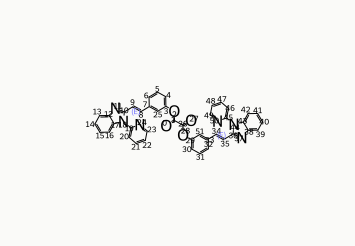 O=C(Oc1cccc(/C=C/c2nc3ccccc3n2-c2ccccn2)c1)C(=O)Oc1cccc(/C=C/c2nc3ccccc3n2-c2ccccn2)c1